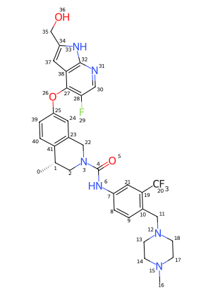 C[C@H]1CN(C(=O)Nc2ccc(CN3CCN(C)CC3)c(C(F)(F)F)c2)Cc2cc(Oc3c(F)cnc4[nH]c(CO)cc34)ccc21